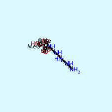 COc1cc(C2c3cc4c(cc3C(NC(=O)CCCCNCCCCNCCCCNCCCCN)C3COC(=O)C23)OCO4)cc(OC)c1O